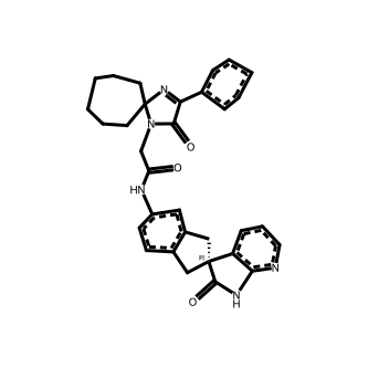 O=C(CN1C(=O)C(c2ccccc2)=NC12CCCCCC2)Nc1ccc2c(c1)C[C@@]1(C2)C(=O)Nc2ncccc21